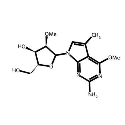 COc1nc(N)nc2c1c(C)cn2C1O[C@H](CO)[C@@H](O)[C@H]1OC